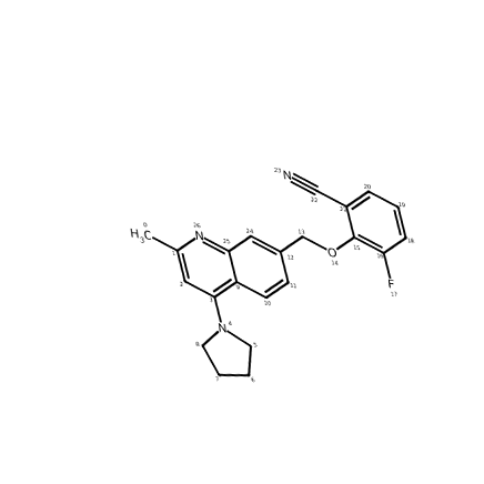 Cc1cc(N2CCCC2)c2ccc(COc3c(F)cccc3C#N)cc2n1